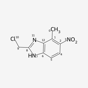 Cc1c([N+](=O)[O-])ccc2[nH]c(CCl)nc12